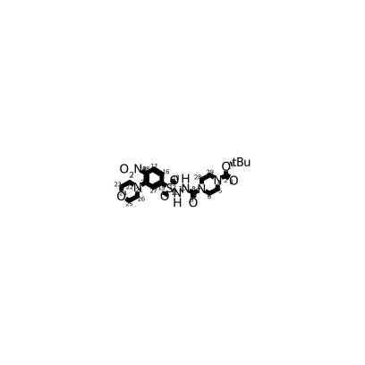 CC(C)(C)OC(=O)N1CCN(C(=O)NNS(=O)(=O)c2ccc([N+](=O)[O-])c(N3CCOCC3)c2)CC1